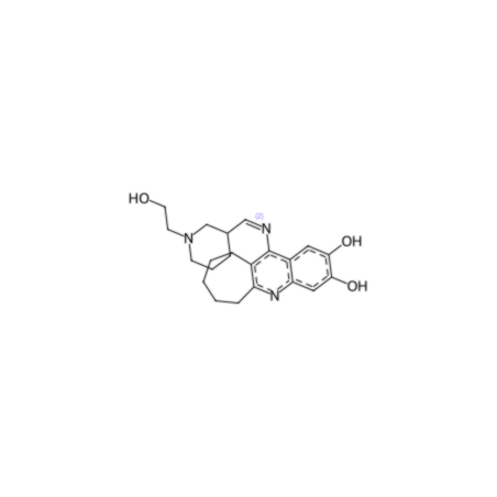 OCCN1CCCC(/C=N\c2c3c(nc4cc(O)c(O)cc24)CCCCC3)C1